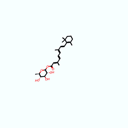 CC(C=CC1=C(C)CCCC1(C)C)=CC=CC(C)=CC(=O)OC1O[C@H](C)[C@@H](O)[C@H](O)[C@H]1O